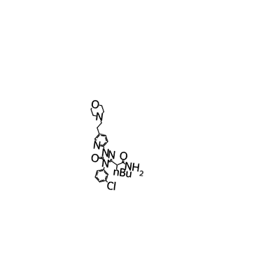 CCCCC(C(N)=O)c1nn(-c2ccc(CCN3CCOCC3)cn2)c(=O)n1-c1cccc(Cl)c1